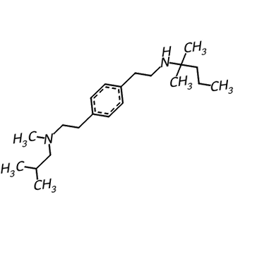 CCCC(C)(C)NCCc1ccc(CCN(C)CC(C)C)cc1